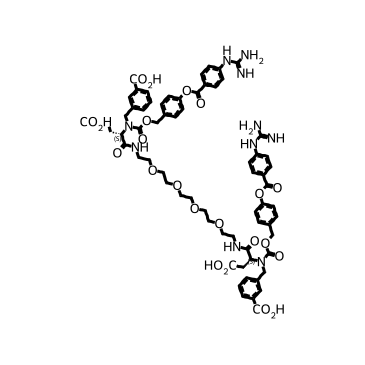 N=C(N)Nc1ccc(C(=O)Oc2ccc(COC(=O)N(Cc3cccc(C(=O)O)c3)[C@@H](CC(=O)O)C(=O)NCCOCCOCCOCCOCCNC(=O)[C@H](CC(=O)O)N(Cc3cccc(C(=O)O)c3)C(=O)OCc3ccc(OC(=O)c4ccc(NC(=N)N)cc4)cc3)cc2)cc1